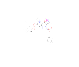 COC(=O)[C@H]1CCCC[C@@H]1COc1ccc(-c2onc(C)c2NC(=O)OCc2ccccc2)nc1C